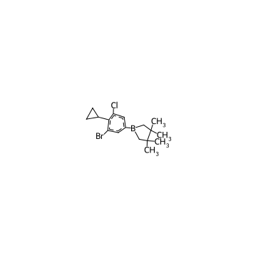 CC1(C)CB(c2cc(Cl)c(C3CC3)c(Br)c2)CC1(C)C